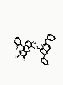 Cc1ccccc1-c1c2cc(Cl)c(=O)cc-2oc2c(CNc3cc(-c4ccccc4)cc4ccc(Cc5ccccc5)nc34)c(O)ccc12